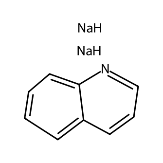 [NaH].[NaH].c1ccc2ncccc2c1